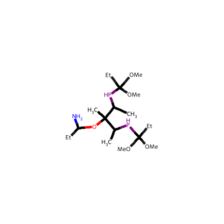 CCC(N)OC(C)(C(C)PC(CC)(OC)OC)C(C)PC(CC)(OC)OC